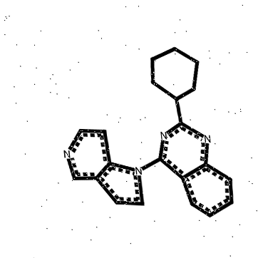 c1ccc2c(-n3ccc4cnccc43)nc(C3CCCCC3)nc2c1